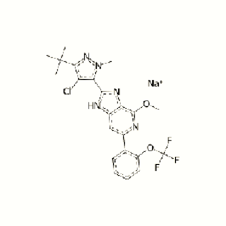 COc1nc(-c2ccccc2OC(F)(F)F)cc2[nH]c(-c3c(Cl)c(C(C)(C)C)nn3C)nc12.[Na+]